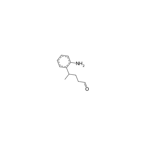 CC(CCC=O)c1ccccc1N